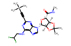 CNC(=O)[C@H]1O[C@@H](n2cnc3c(NCC(F)F)nc(C#C[Si](C)(C)C)nc32)[C@@H]2OC(C)(C)O[C@@H]21